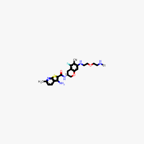 CCNCCOCCNc1cc2c(c(F)c1C#N)C[C@@H](NC(=O)c1sc3nc(C)ccc3c1N)CO2